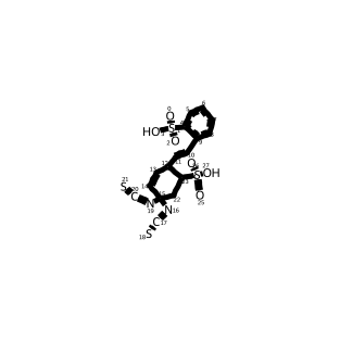 O=S(=O)(O)c1ccccc1C=CC1C=CC(N=C=S)(N=C=S)CC1S(=O)(=O)O